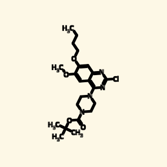 CCCCOc1cc2nc(Cl)nc(N3CCN(C(=O)OC(C)(C)C)CC3)c2cc1OC